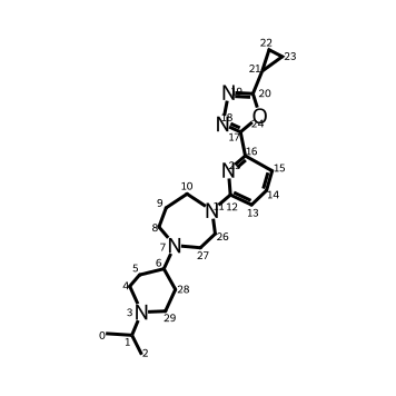 CC(C)N1CCC(N2CCCN(c3cccc(-c4nnc(C5CC5)o4)n3)CC2)CC1